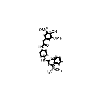 COc1cc(CC(=O)N[C@H]2CC[C@@H](Nc3nc(N(C)C)c4ccccc4n3)CC2)cc(OC)c1O